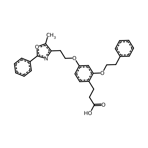 Cc1oc(-c2ccccc2)nc1CCOc1ccc(CCC(=O)O)c(OCCc2ccccc2)c1